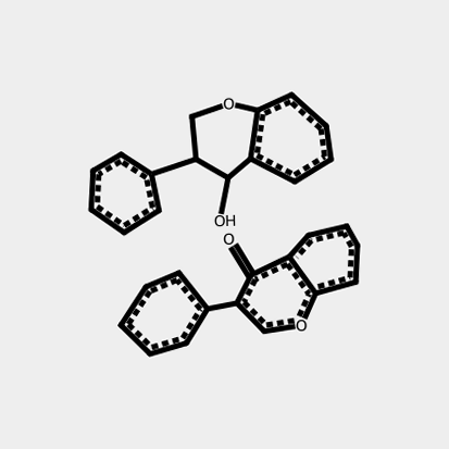 O=c1c(-c2ccccc2)coc2ccccc12.OC1c2ccccc2OCC1c1ccccc1